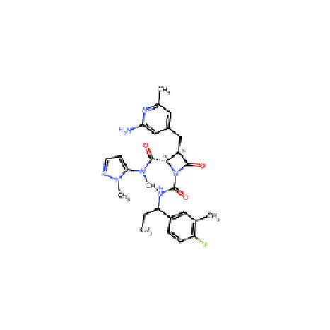 CCC(NC(=O)N1C(=O)[C@H](Cc2cc(C)nc(N)c2)[C@H]1C(=O)N(C)c1ccnn1C)c1ccc(F)c(C)c1